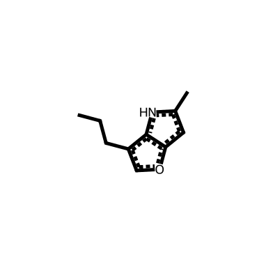 CCCc1coc2cc(C)[nH]c12